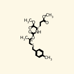 COC(=O)CC[C@H](NC(=O)O[C@H](C)CSCc1ccc(C)cc1)C(=O)OC